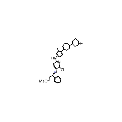 COCCC(/C=C/C1=C=CC(Nc2ccc(C3=CCCC(C4=CCCN(C)CC4)CC3)c(C)c2)=NC=C1Cl)c1ccccc1